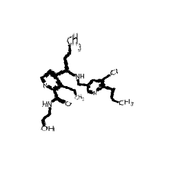 CC/C=C(\NCc1cnc(CCC)c(Cl)c1)c1ccnc(C(=O)NCCO)c1CC